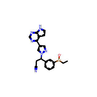 CC[S+]([O-])c1cccc(C(CC#N)n2cc(-c3ncnc4[nH]ccc34)cn2)c1